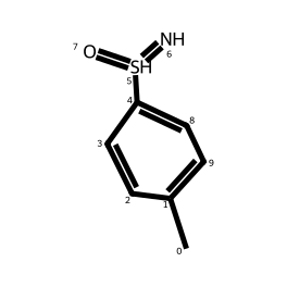 Cc1ccc([SH](=N)=O)cc1